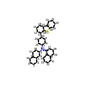 c1ccc2cc(N(c3ccc(-c4cccc5c4sc4ccccc45)cc3)c3cccc4ccccc34)ccc2c1